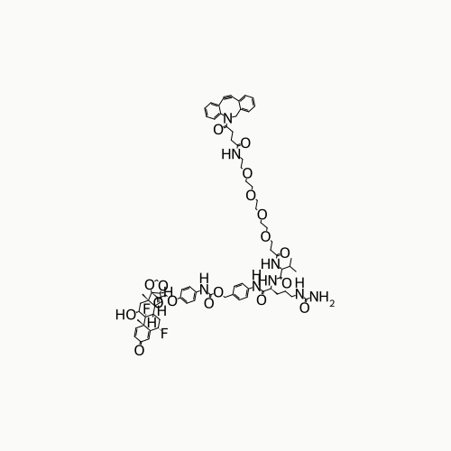 CC(C)[C@H](NC(=O)CCOCCOCCOCCOCCNC(=O)CCC(=O)N1Cc2ccccc2C#Cc2ccccc21)C(=O)N[C@@H](CCCNC(N)=O)C(=O)Nc1ccc(COC(=O)Nc2ccc(OCC(=O)[C@@]34OCO[C@@H]3C[C@H]3[C@@H]5C[C@H](F)C6=CC(=O)C=C[C@]6(C)[C@@]5(F)[C@@H](O)C[C@@]34C)cc2)cc1